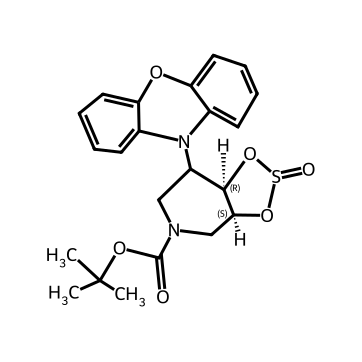 CC(C)(C)OC(=O)N1CC(N2c3ccccc3Oc3ccccc32)[C@H]2OS(=O)O[C@H]2C1